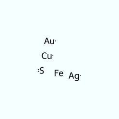 [Ag].[Au].[Cu].[Fe].[S]